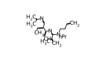 C=CCCN(CCC)/C(=N/C(=C\C)C(=CC)/C=N\C(=C)C)C(=C)C